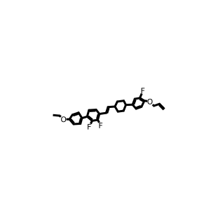 C=CCOc1ccc(C2CCC(/C=C/c3ccc(-c4ccc(OCC)cc4)c(F)c3F)CC2)cc1F